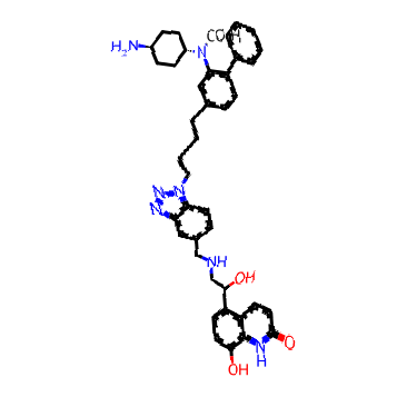 N[C@H]1CC[C@H](N(C(=O)O)c2cc(CCCCn3nnc4cc(CNCC(O)c5ccc(O)c6[nH]c(=O)ccc56)ccc43)ccc2-c2ccccc2)CC1